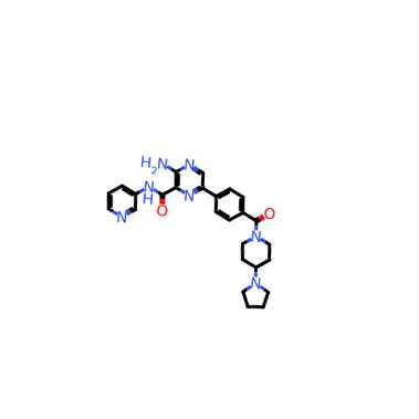 Nc1ncc(-c2ccc(C(=O)N3CCC(N4CCCC4)CC3)cc2)nc1C(=O)Nc1cccnc1